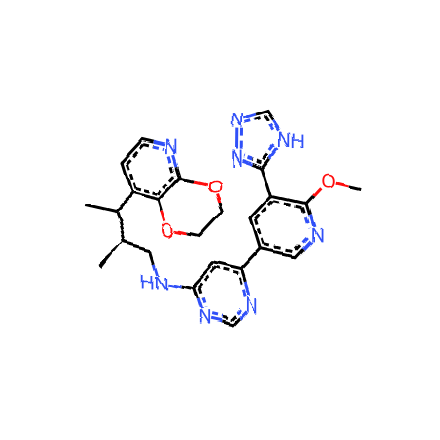 COc1ncc(-c2cc(NC[C@@H](C)C(C)c3ccnc4c3OCCO4)ncn2)cc1-c1nnc[nH]1